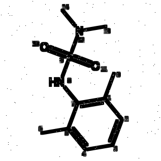 Cc1cccc(C)c1NS(=O)(=O)N(C)C